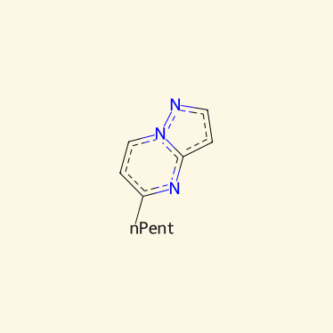 CCCCCc1ccn2nccc2n1